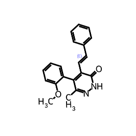 COc1ccccc1-c1c(C)n[nH]c(=O)c1/C=C/c1ccccc1